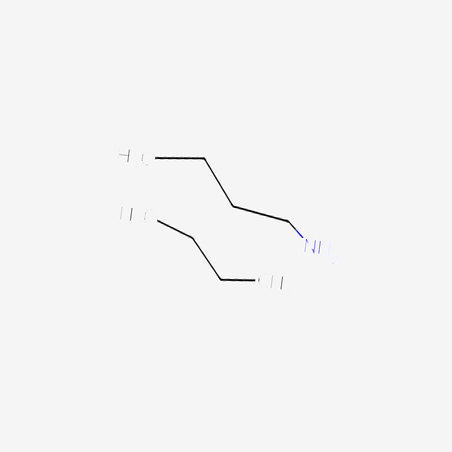 CCCC.CCCCN